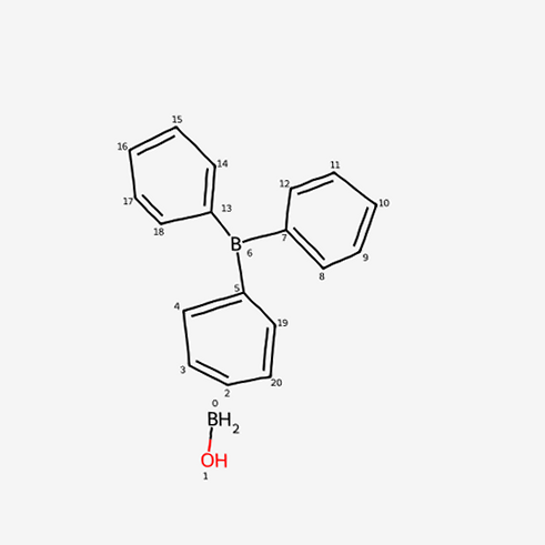 BO.c1ccc(B(c2ccccc2)c2ccccc2)cc1